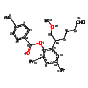 CCCCc1ccc(C(=O)Oc2c(C(C)C)cc(C(C)C)cc2C(CCCC=O)COCC)cc1